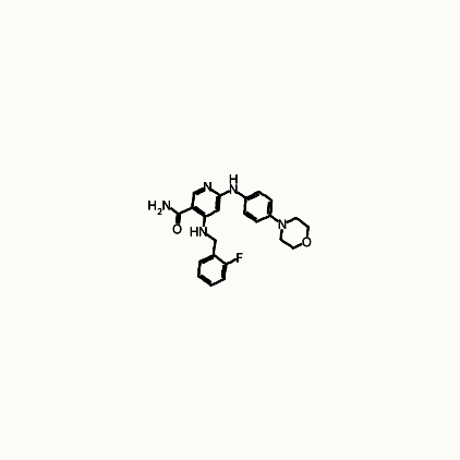 NC(=O)c1cnc(Nc2ccc(N3CCOCC3)cc2)cc1NCc1ccccc1F